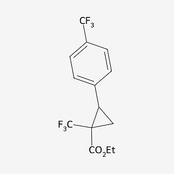 CCOC(=O)C1(C(F)(F)F)CC1c1ccc(C(F)(F)F)cc1